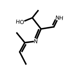 C/C=C(C)\N=C(\C=N)C(C)O